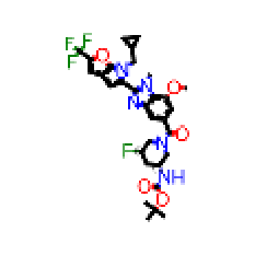 COc1cc(C(=O)N2C[C@H](F)C[C@@H](NC(=O)OC(C)(C)C)C2)cc2nc(-c3cc4cc(C(F)(F)F)oc4n3CC3CC3)n(C)c12